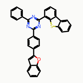 c1ccc(-c2nc(-c3ccc(-c4cc5ccccc5o4)cc3)nc(-c3cccc4c3sc3ccccc34)n2)cc1